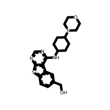 OCc1ccc2sc3ncnc(NC4CCC(N5CCOCC5)CC4)c3c2c1